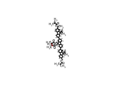 C=C(C)C(=O)OCc1ccc2c(c1)C(C)(C(F)(F)F)c1cc(-c3ccc4c(c3)C(COC(=O)C(=C)C)(COC(=O)C(=C)C)c3cc(-c5ccc6c(c5)C(C)(C(F)(F)F)c5cc(C(=C)OC(=O)C(=C)C)ccc5-6)ccc3-4)ccc1-2